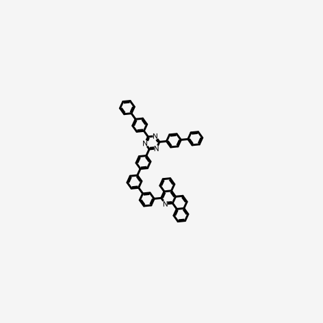 c1ccc(-c2ccc(-c3nc(-c4ccc(-c5ccccc5)cc4)nc(-c4ccc(-c5cccc(-c6cccc(-c7nc8c9ccccc9ccc8c8ccccc78)c6)c5)cc4)n3)cc2)cc1